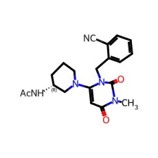 CC(=O)N[C@@H]1CCCN(c2cc(=O)n(C)c(=O)n2Cc2ccccc2C#N)C1